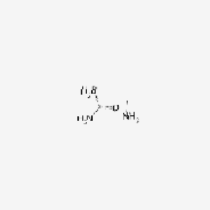 BC(N)=O.CN